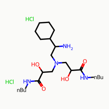 CCCCNC(=O)C(O)CN(CC(O)C(=O)NCCCC)CC(N)C1CCCCC1.Cl.Cl